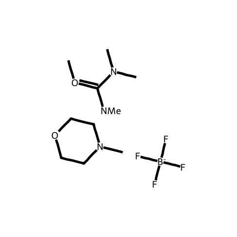 CN1CCOCC1.CNC(=[O+]C)N(C)C.F[B-](F)(F)F